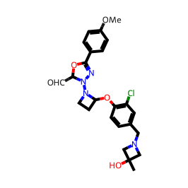 COc1ccc(C2=NN(N3CCC3Oc3ccc(CN4CC(C)(O)C4)cc3Cl)C(C=O)O2)cc1